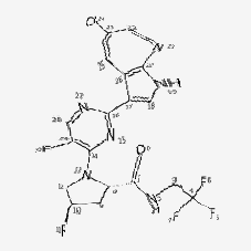 O=C(NCC(F)(F)F)[C@@H]1C[C@@H](F)CN1c1nc(-c2c[nH]c3ncc(Cl)cc23)ncc1F